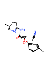 Cc1ccc(NC(=O)COc2ccc(C)cc2C#N)nc1